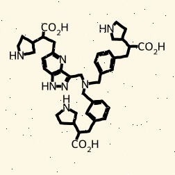 O=C(O)C(Cc1cccc(CN(Cc2cccc(CC(C(=O)O)C3CCNC3)c2)Cc2n[nH]c3ccc(CC(C(=O)O)C4CCNC4)nc23)c1)C1CCNC1